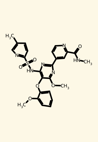 CNC(=O)c1cc(-c2nc(NS(=O)(=O)c3ccc(C)cn3)c(Oc3ccccc3OC)c(OC)n2)ccn1